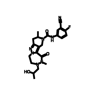 CC(O)CN1CCn2nc3c(c2C(=O)N1C)CN(C(=O)Nc1ccc(F)c(C#N)c1)C(C)C3